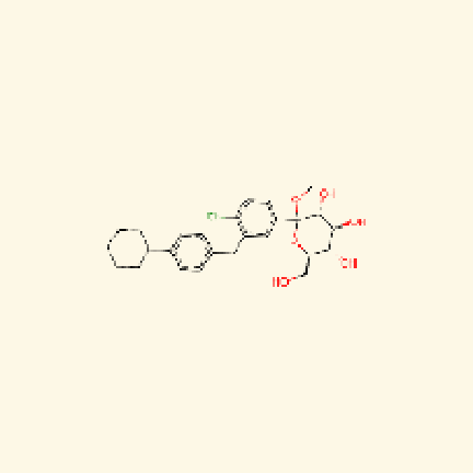 COC1(c2ccc(Cl)c(Cc3ccc(C4CCCCC4)cc3)c2)O[C@H](CO)[C@@H](O)[C@H](O)[C@H]1O